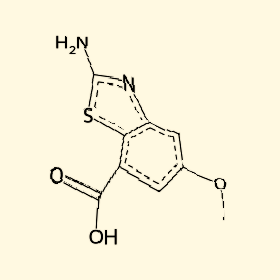 COc1cc(C(=O)O)c2sc(N)nc2c1